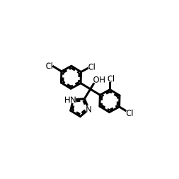 OC(c1ncc[nH]1)(c1ccc(Cl)cc1Cl)c1ccc(Cl)cc1Cl